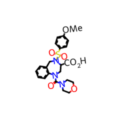 COc1ccc(S(=O)(=O)N2Cc3ccccc3N(C(=O)N3CCOCC3)CC2C(=O)O)cc1